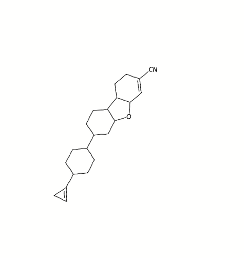 N#CC1=CC2OC3CC(C4CCC(C5=CC5)CC4)CCC3C2CC1